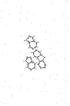 c1ccc2c(c1)Cc1ccccc1-2.c1ccc2sccc2c1.c1ccc2sccc2c1